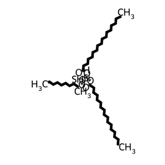 CCCCCCCCCCCCCCCCCC(=O)O[SiH](OOC(C)C(S)CCCCCCC)OC(=O)CCCCCCCCCCCCCCCCC